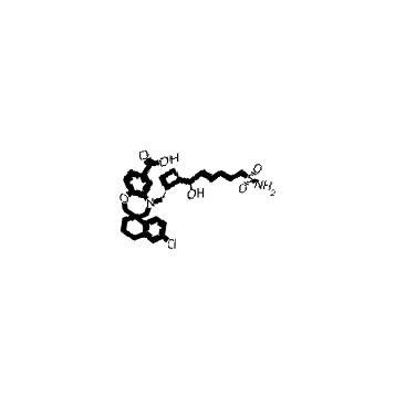 NS(=O)(=O)CCC/C=C/[C@H](O)[C@@H]1CC[C@H]1CN1CC2(CCCc3cc(Cl)ccc32)COc2ccc(C(=O)O)cc21